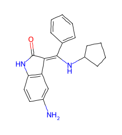 Nc1ccc2c(c1)C(=C(NC1CCCC1)c1ccccc1)C(=O)N2